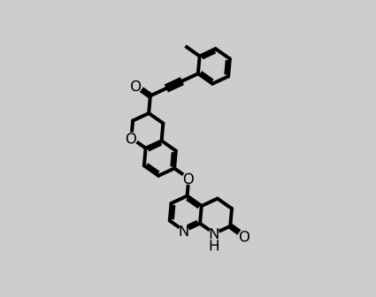 Cc1ccccc1C#CC(=O)C1COc2ccc(Oc3ccnc4c3CCC(=O)N4)cc2C1